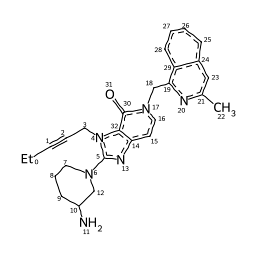 CCC#CCn1c(N2CCCC(N)C2)nc2ccn(Cc3nc(C)cc4ccccc34)c(=O)c21